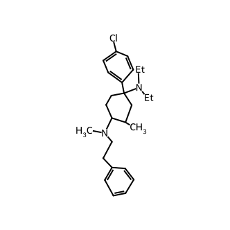 CCN(CC)C1(c2ccc(Cl)cc2)CCC(N(C)CCc2ccccc2)C(C)C1